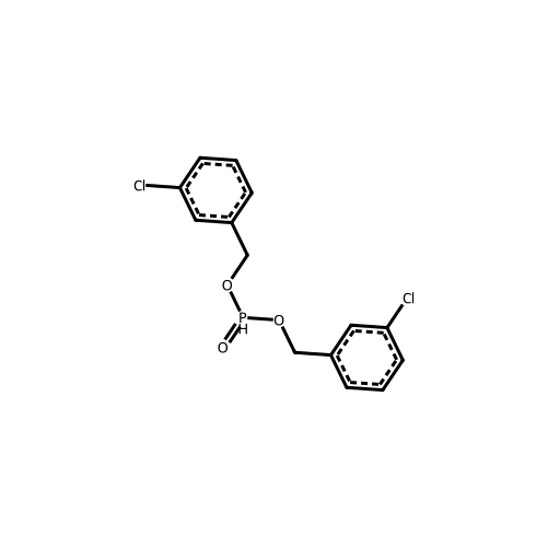 O=[PH](OCc1cccc(Cl)c1)OCc1cccc(Cl)c1